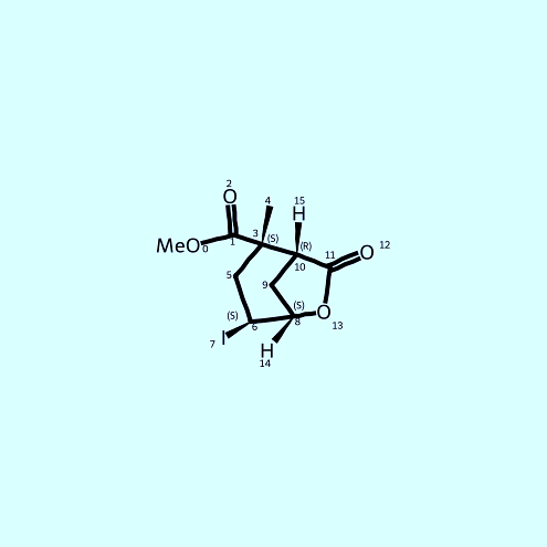 COC(=O)[C@@]1(C)C[C@H](I)[C@@H]2C[C@H]1C(=O)O2